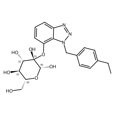 CCc1ccc(Cn2nnc3cccc(O[C@]4(O)[C@H](O)O[C@H](CO)[C@@H](O)[C@@H]4O)c32)cc1